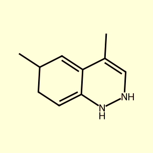 CC1=CNNC2=CCC(C)C=C12